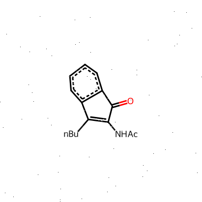 CCCCC1=C(NC(C)=O)C(=O)c2ccccc21